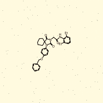 CCc1cccc(CC)c1NC(=O)CN1C(=O)N(c2ccc(OCc3ccccc3)cc2)C2(CCCCC2)C1=O